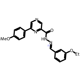 CCOc1cccc(/C=N/NC(=O)c2cncc(-c3ccc(OC)cc3)n2)c1